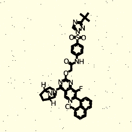 CC(C)(C)c1ncn(S(=O)(=O)c2ccc(NC(=O)COc3nc(N4C[C@H]5CC[C@@H](C4)N5)c4cnc(-c5cccc6cccc(Cl)c56)c(F)c4n3)cc2)n1